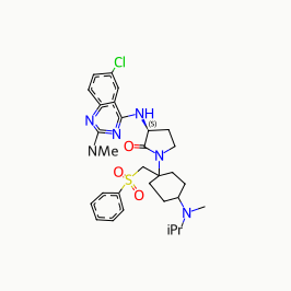 CNc1nc(N[C@H]2CCN(C3(CS(=O)(=O)c4ccccc4)CCC(N(C)C(C)C)CC3)C2=O)c2cc(Cl)ccc2n1